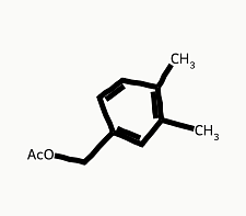 CC(=O)OCc1ccc(C)c(C)c1